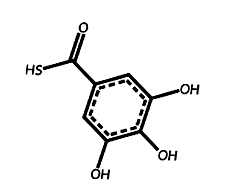 O=C(S)c1cc(O)c(O)c(O)c1